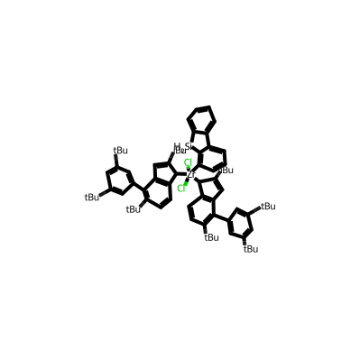 CCC(C)C1=Cc2c(ccc(C(C)(C)C)c2-c2cc(C(C)(C)C)cc(C(C)(C)C)c2)[CH]1[Zr]([Cl])([Cl])([c]1cccc2c1[SiH2]c1ccccc1-2)[CH]1C(C(C)CC)=Cc2c1ccc(C(C)(C)C)c2-c1cc(C(C)(C)C)cc(C(C)(C)C)c1